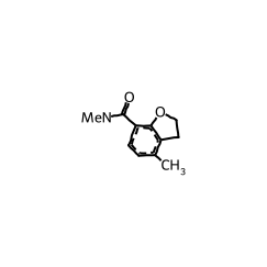 CNC(=O)c1ccc(C)c2c1OCC2